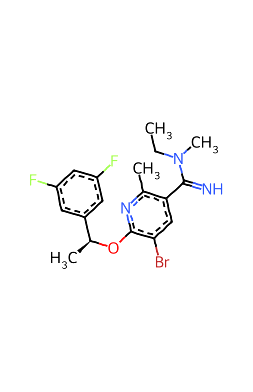 CCN(C)C(=N)c1cc(Br)c(O[C@@H](C)c2cc(F)cc(F)c2)nc1C